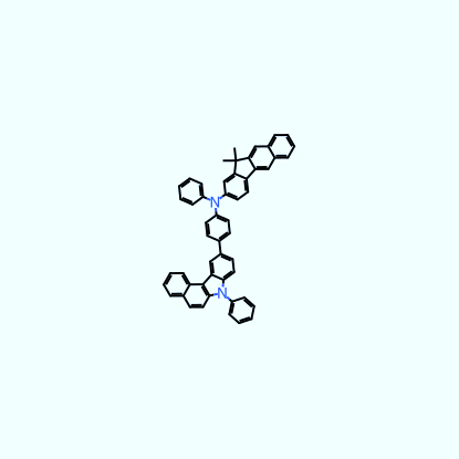 CC1(C)c2cc(N(c3ccccc3)c3ccc(-c4ccc5c(c4)c4c6ccccc6ccc4n5-c4ccccc4)cc3)ccc2-c2cc3ccccc3cc21